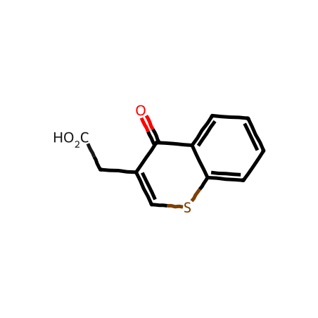 O=C(O)Cc1csc2ccccc2c1=O